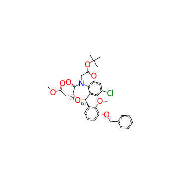 COC(=O)C[C@H]1O[C@H](c2cccc(OCc3ccccc3)c2OC)c2cc(Cl)ccc2N(CC(=O)OC(C)(C)C)C1=O